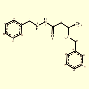 C[C@H](CC(=O)NNCc1cccnc1)OCc1cccnc1